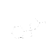 CC(S)OC(C)(C)C1CCCCC1